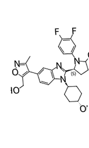 Cc1noc(CO)c1-c1ccc2c(c1)nc([C@@H]1CCC(O)N1c1ccc(F)c(F)c1)n2[C@H]1CC[C@H](O)CC1